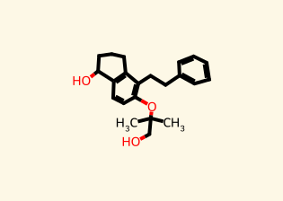 CC(C)(CO)Oc1ccc2c(c1CCc1ccccc1)CCCC2O